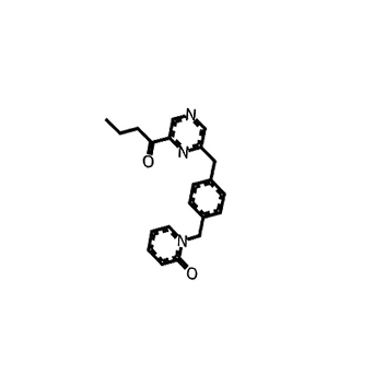 CCCC(=O)c1cncc(Cc2ccc(Cn3ccccc3=O)cc2)n1